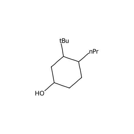 CCCC1CCC(O)CC1C(C)(C)C